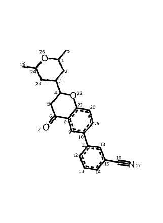 CC1CC(C2CC(=O)c3cc(-c4cccc(C#N)c4)ccc3O2)CC(C)O1